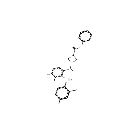 O=C(Nc1ccccc1)C1CN(C(O)c2ccc(F)c(F)c2Nc2ccc(I)cc2F)C1